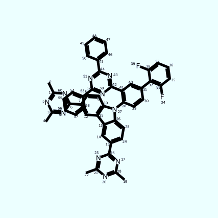 Cc1nc(C)nc(-c2ccc3c(c2)c2cc(-c4nc(C)nc(C)n4)ccc2n3-c2ccc(-c3c(F)cccc3F)cc2-c2nc(-c3ccccc3)nc(-c3ccccc3)n2)n1